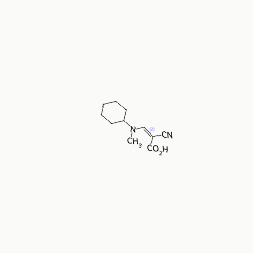 CN(/C=C(/C#N)C(=O)O)C1CCCCC1